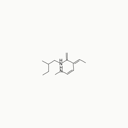 C=C(NCC(C)CC)C(/C=C\NC)=C/C